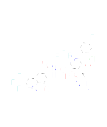 COc1cc(C(=O)NCC(O)(c2cc3c(c(-c4ccc(F)cc4Cl)n2)OC[C@]3(C)C(N)=O)C(F)(F)F)cc2cc(C(F)(F)F)cnc12